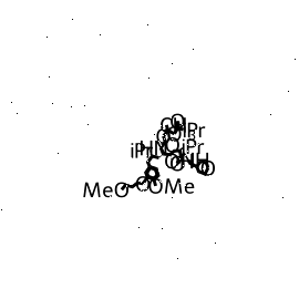 COCCCOc1cc(C[C@@H](C[C@H](NC(=O)OC(C)OC(=O)C(C)C)[C@@H](O)C[C@H](C(=O)NCC2CCOCC2)C(C)C)C(C)C)ccc1OC